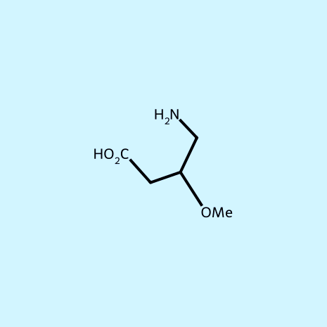 COC(CN)CC(=O)O